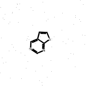 [c]1ncc2ccsc2n1